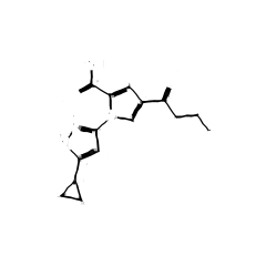 CCCC(=O)c1cc(C(N)=O)n(-c2cc(C3CC3)[nH]n2)c1